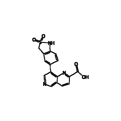 O=C(O)c1ccc2cncc(-c3ccc4c(c3)CS(=O)(=O)N4)c2n1